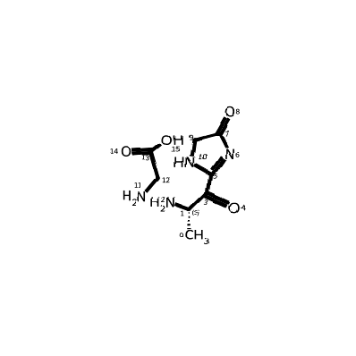 C[C@H](N)C(=O)C1=NC(=O)CN1.NCC(=O)O